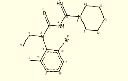 CCN(C(=O)NC(=N)N1CCCCC1)c1c(C)cccc1Br